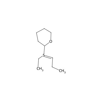 CCC=S(CC)C1CCCCO1